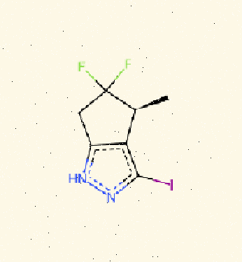 C[C@H]1c2c(I)n[nH]c2CC1(F)F